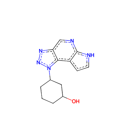 OC1CCCC(n2nnc3cnc4[nH]ccc4c32)C1